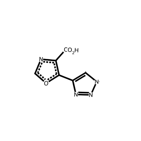 O=C(O)c1ncoc1C1=[C][N]N=N1